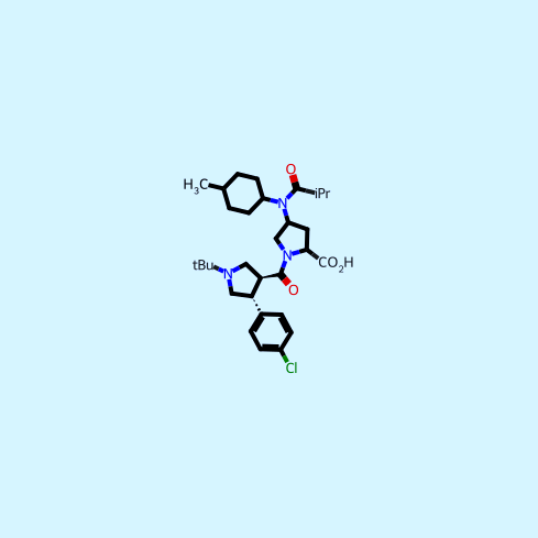 CC1CCC(N(C(=O)C(C)C)C2CC(C(=O)O)N(C(=O)[C@@H]3CN(C(C)(C)C)C[C@H]3c3ccc(Cl)cc3)C2)CC1